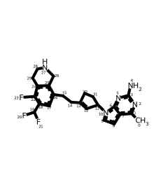 Cc1nc(N)nc2c1ccn2C1C=C(CCc2cc(C(F)F)c(F)c3c2CNCC3)CC1